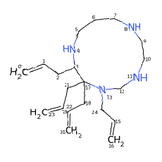 C=CCC1NCCCNCCNCN(CC=C)C1(CC=C)CC=C